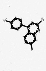 Cc1ccc2c(-c3ccc(F)cc3)cc(Cl)nc2c1